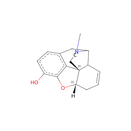 CN1CC[C@]23c4c5ccc(O)c4O[C@H]2CC=CC3C1C5